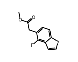 COC(=O)Cc1ccc2sccc2c1F